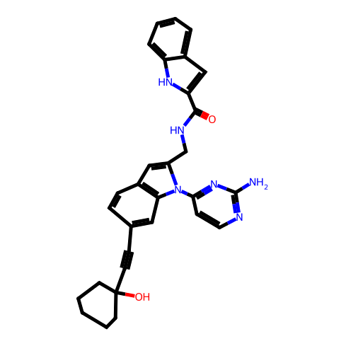 Nc1nccc(-n2c(CNC(=O)c3cc4ccccc4[nH]3)cc3ccc(C#CC4(O)CCCCC4)cc32)n1